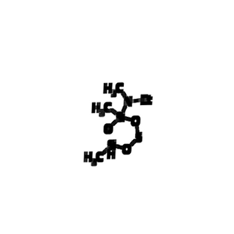 CCN(C)[Si]1(C)OSO[SiH](C)O1